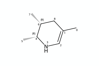 CC1=CN[C@H](C)[C@H](C)C1